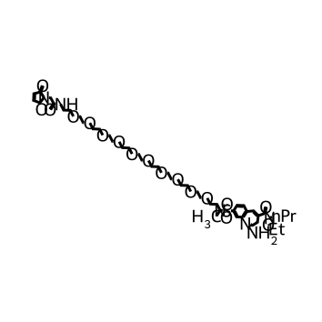 CCCN(OCC)C(=O)C1=Cc2ccc(S(=O)(=O)N(C)CCOCCOCCOCCOCCOCCOCCOCCOCCOCCOCCNC(=O)CN3C(=O)C=CC3=O)cc2N=C(N)C1